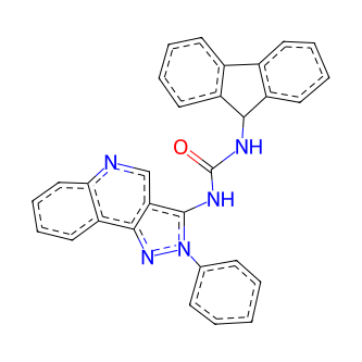 O=C(Nc1c2cnc3ccccc3c2nn1-c1ccccc1)NC1c2ccccc2-c2ccccc21